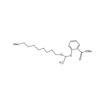 CCCCCCCCCCCCCCCCCCOC(C)Sc1ccccc1C(=O)OC